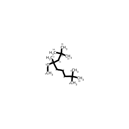 COC(C)(CCCC(C)(C)C)CC(C)(C)C